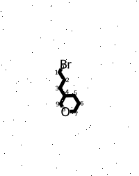 BrCCCC1CCCOC1